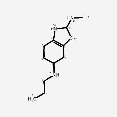 CCCNC1CCC2=C(C1)SC(NI)N2